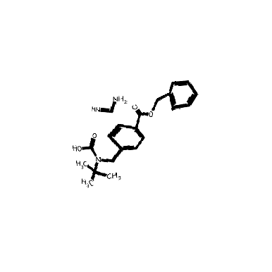 CC(C)(C)N(Cc1ccc(C(=O)OCc2ccccc2)cc1)C(=O)O.N=CN